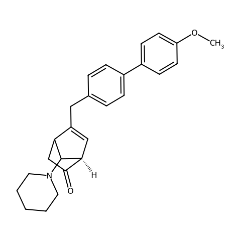 COc1ccc(-c2ccc(CC3=C[C@H]4C(=O)CC3C4N3CCCCC3)cc2)cc1